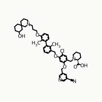 Cc1c(COc2cc(OCc3cncc(C#N)c3)c(CN3CCCC[C@H]3C(=O)O)cc2Cl)cccc1-c1cccc(OCCCN2CCCC3(CCCC(O)C3)C2)c1C